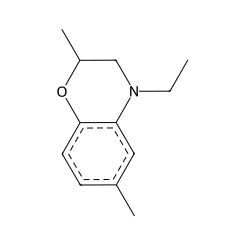 CCN1CC(C)Oc2ccc(C)cc21